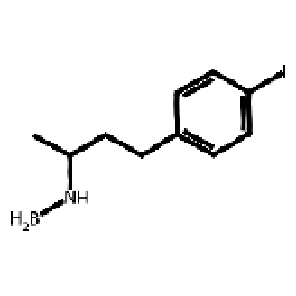 BNC(C)CCc1ccc(I)cc1